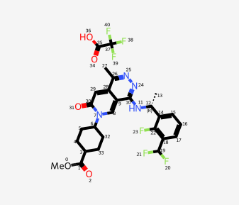 COC(=O)C1CCC(n2cc3c(N[C@H](C)c4cccc(C(F)F)c4F)nnc(C)c3cc2=O)CC1.O=C(O)C(F)(F)F